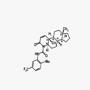 CC(C)(C)c1ccc(C(F)(F)F)cc1NC(=O)N1C(=O)C=C[C@]2(C)[C@H]3CC[C@]4(C)CCC[C@H]4[C@@H]3CC[C@@H]12